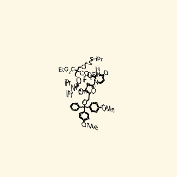 CCOC(=O)C(COCSSC(C)C)(COP(O[C@@H]1C(COC(c2ccccc2)(c2ccc(OC)cc2)c2ccc(OC)cc2)O[C@@H](n2ccc(=O)[nH]c2=O)[C@@H]1F)N(C(C)C)C(C)C)C(=O)OCC